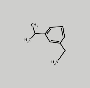 CC(C)c1c[c]cc(CN)c1